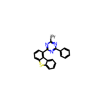 CC(C)c1nc(-c2ccccc2)nc(-c2cccc3sc4ccccc4c23)n1